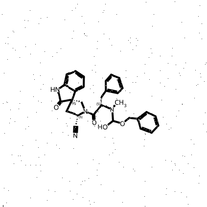 CN(C(O)OCc1ccccc1)[C@@H](Cc1ccccc1)C(=O)N1C[C@]2(C[C@H]1C#N)C(=O)Nc1ccccc12